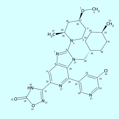 CO[C@H]1CCN(c2nc3cc(-c4noc(=O)[nH]4)nc(-c4cncc(Cl)c4)c3n2C[C@H]2CC[C@H](C)CC2)[C@@H](C)C1